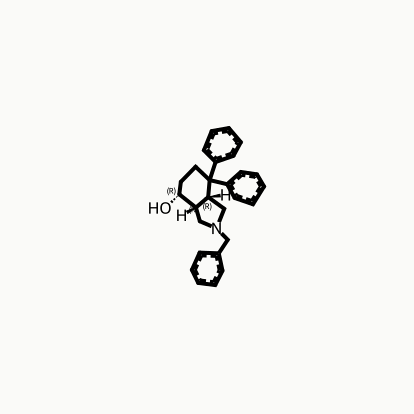 O[C@@H]1CCC(c2ccccc2)(c2ccccc2)[C@@H]2CN(Cc3ccccc3)C[C@H]12